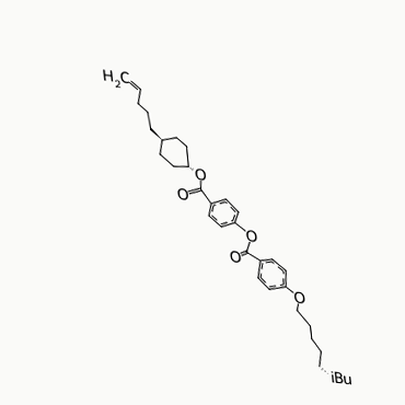 C=CCCC[C@H]1CC[C@H](OC(=O)c2ccc(OC(=O)c3ccc(OCCCCC[C@@H](C)CC)cc3)cc2)CC1